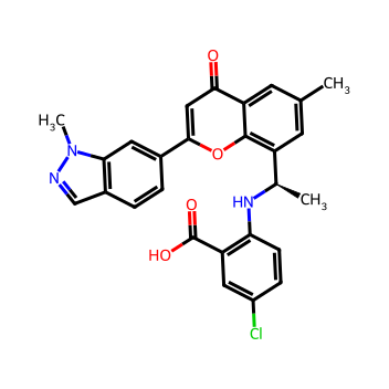 Cc1cc([C@@H](C)Nc2ccc(Cl)cc2C(=O)O)c2oc(-c3ccc4cnn(C)c4c3)cc(=O)c2c1